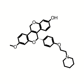 COc1ccc2c(c1)O[C@@H](c1ccc(OCCN3CCCCC3)cc1)C1=C2COc2cc(O)ccc21